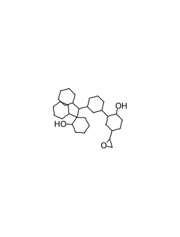 OC1CCC(C2CO2)CC1C1CCCC(C(C2CCCCC2)C2(C3CCCCC3)CCCCC2O)C1